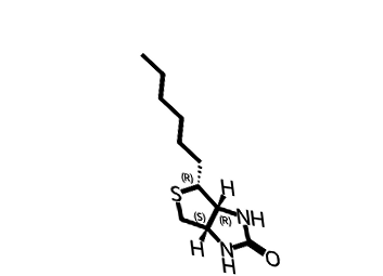 CCCCCC[C@H]1SC[C@H]2NC(=O)N[C@H]21